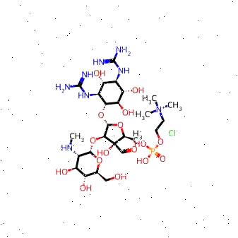 CN[C@@H]1[C@H](O[C@H]2[C@H](O[C@H]3[C@H](O)[C@@H](O)[C@H](NC(=N)N)[C@@H](O)[C@@H]3NC(=N)N)O[C@@H](C)[C@]2(O)C=O)O[C@@H](CO)[C@H](O)[C@H]1O.C[N+](C)(C)CCOP(=O)(O)O.[Cl-]